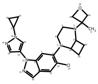 CC1(N2CCN(c3cc4c(cnn4-c4cnn(C5CC5)c4)cc3Cl)C3CCC32)COC1